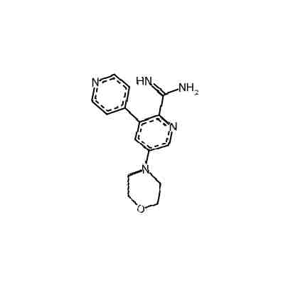 N=C(N)c1ncc(N2CCOCC2)cc1-c1ccncc1